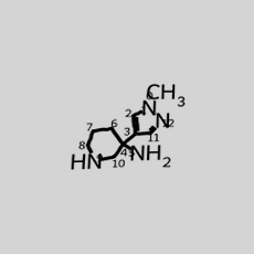 Cn1cc(C2(N)CCCNC2)cn1